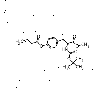 CCCC(=O)Oc1ccc(C[C@H](NC(=O)OC(C)(C)C)C(=O)OC)cc1